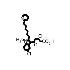 C[C@H](CC(=O)O)CC(=O)c1c(CCCCCCc2ccccn2)n(C)c2ccc(Cl)cc12